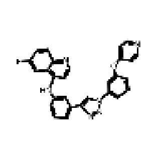 Fc1ccc2nccc(Nc3cccc(-c4cn(-c5cccc(Oc6ccncc6)c5)nn4)c3)c2c1